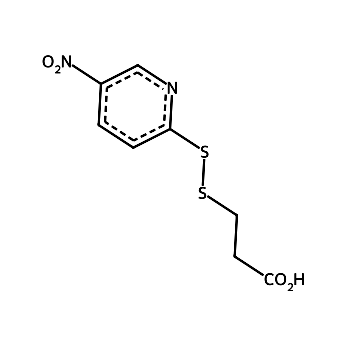 O=C(O)CCSSc1ccc([N+](=O)[O-])cn1